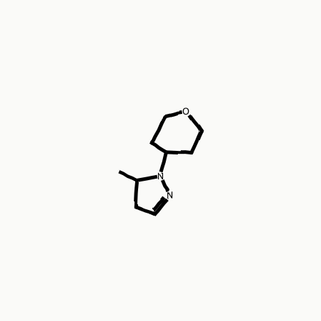 CC1CC=NN1C1CCOCC1